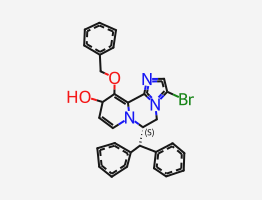 OC1C=CN2C(=C1OCc1ccccc1)c1ncc(Br)n1C[C@@H]2C(c1ccccc1)c1ccccc1